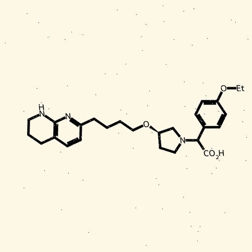 CCOc1ccc(C(C(=O)O)N2CC[C@@H](OCCCCc3ccc4c(n3)NCCC4)C2)cc1